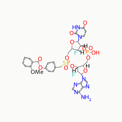 COc1ccccc1C(=O)Oc1ccc(CSP2(=O)OCC3O[C@@H](n4ccc(=O)[nH]c4=O)[C@H](OP(=O)(O)OC[C@H]4O[C@@H](n5cnc6c(N)ncnc65)[C@H](F)[C@@H]4O2)[C@@H]3F)cc1